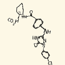 O=C(N[C@H]1CCCC[C@@H]1C(=O)O)c1ccc(Nc2nn(-c3ccc(Cl)cc3)c(=O)[nH]2)cc1